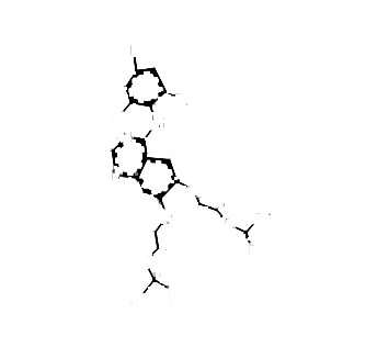 Fc1cc(F)c(Nc2ncnc3cc(OCCOC(F)F)c(OCCOC(F)F)cc23)c(F)c1